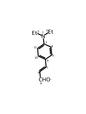 CCN(CC)c1ccc(C=C[C]=O)cc1